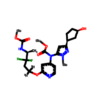 [2H]C([2H])(CC(F)(F)[C@H](C)NC(=O)OC(C)(C)C)Oc1cc(N(C(=O)OC(C)(C)C)c2cc([C@H]3CC[C@@H](O)C3)nn2C(C)(C)C)ccn1